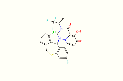 C[C@@H](N1CN([C@H]2c3ccc(F)cc3SCc3cccc(Cl)c32)n2ccc(=O)c(O)c2C1=O)C(F)(F)F